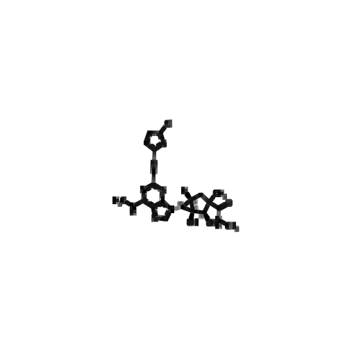 CNC(=O)C1(C)C[C@H]2[C@@H](n3cnc4c(NC)nc(C#Cc5ccc(Cl)s5)nc43)[C@@]2(O)[C@@H]1O